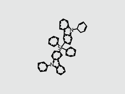 C1=CCC(n2c3ccccc3c3cc([Si](c4ccccc4)(c4ccccc4)c4ccc5c(c4)c4ccccc4n5-c4ccccc4)ccc32)C=C1